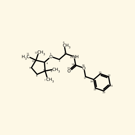 CC(COC1C(C)(C)CCC1(C)C)NC(=O)OCc1ccccc1